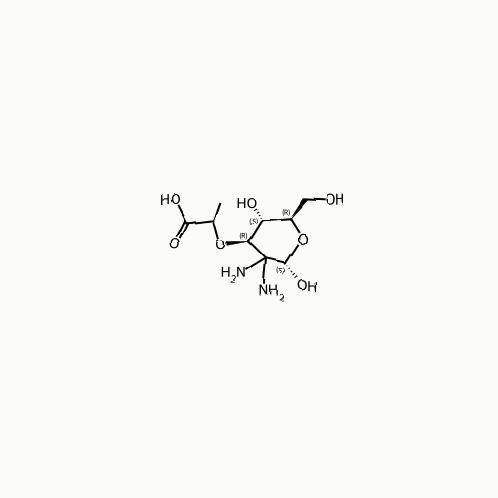 CC(O[C@H]1[C@H](O)[C@@H](CO)O[C@H](O)C1(N)N)C(=O)O